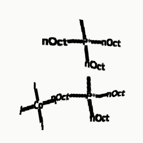 CCCCCCCC[P+](C)(CCCCCCCC)CCCCCCCC.CCCCCCCC[P+](C)(CCCCCCCC)CCCCCCCC.[I][Co]([I])([I])[I]